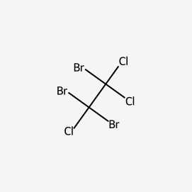 ClC(Cl)(Br)C(Cl)(Br)Br